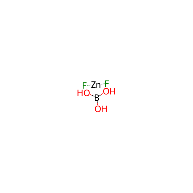 OB(O)O.[F][Zn][F]